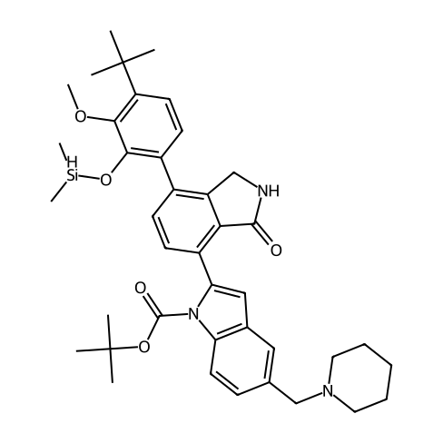 COc1c(C(C)(C)C)ccc(-c2ccc(-c3cc4cc(CN5CCCCC5)ccc4n3C(=O)OC(C)(C)C)c3c2CNC3=O)c1O[SiH](C)C